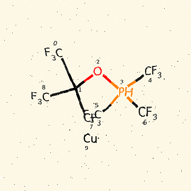 FC(F)(F)C(O[PH](C(F)(F)F)(C(F)(F)F)C(F)(F)F)(C(F)(F)F)C(F)(F)F.[Cu]